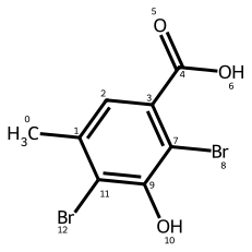 Cc1cc(C(=O)O)c(Br)c(O)c1Br